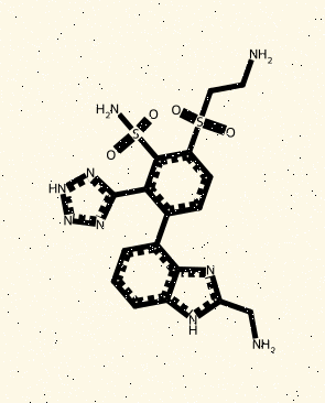 NCCS(=O)(=O)c1ccc(-c2cccc3[nH]c(CN)nc23)c(-c2nn[nH]n2)c1S(N)(=O)=O